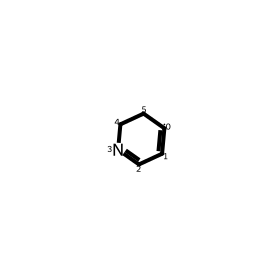 [C]1=CC=NCC1